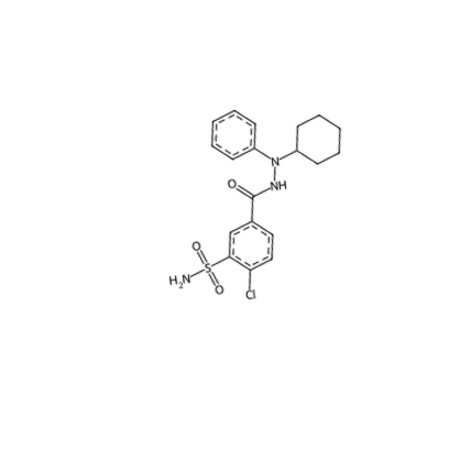 NS(=O)(=O)c1cc(C(=O)NN(c2ccccc2)C2CCCCC2)ccc1Cl